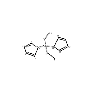 CC[Si](CC)(C1C=CC=C1)C1C=CC=C1